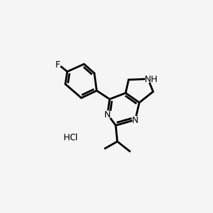 CC(C)c1nc2c(c(-c3ccc(F)cc3)n1)CNC2.Cl